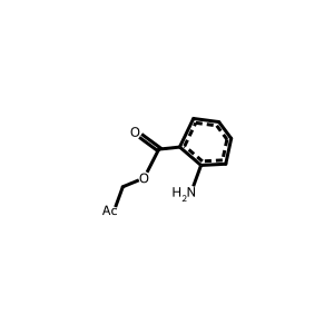 CC(=O)COC(=O)c1ccccc1N